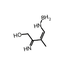 BN/C=C(/C)C(=N)CO